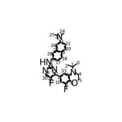 CC(C)N1CCOc2c(F)cc(-c3nc(Nc4ccc5ccc(N(C)C)cc5c4)ncc3F)cc21